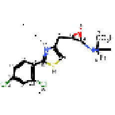 CC(C)C(C)(NC1OC1Cc1csc(-c2ccc(Cl)cc2Cl)n1)C(=O)O